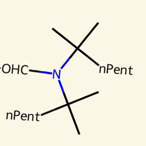 CCCCCC(C)(C)N([C]=O)C(C)(C)CCCCC